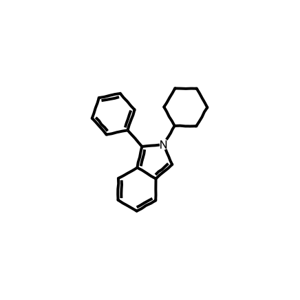 c1ccc(-c2c3ccccc3cn2C2CCCCC2)cc1